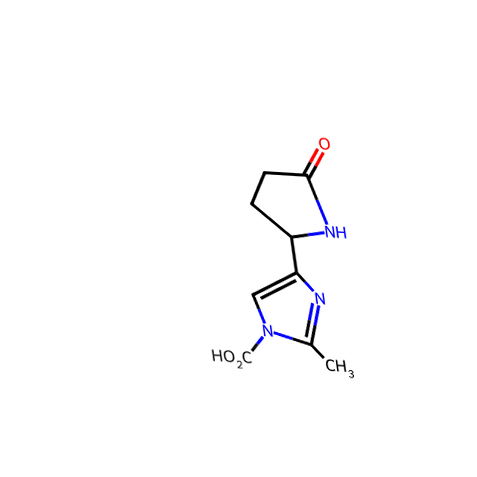 Cc1nc(C2CCC(=O)N2)cn1C(=O)O